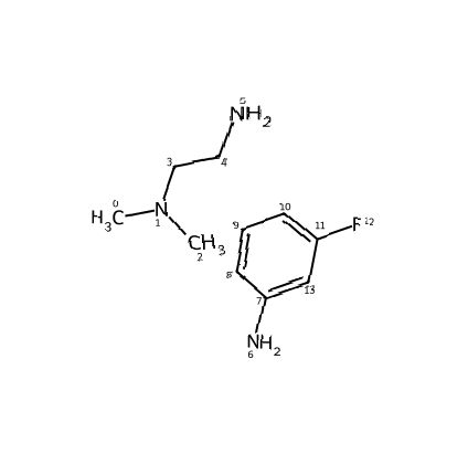 CN(C)CCN.Nc1cccc(F)c1